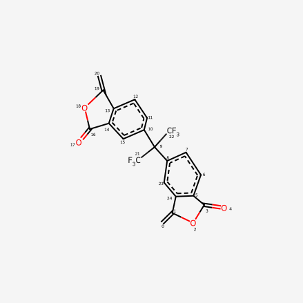 C=C1OC(=O)c2ccc(C(c3ccc4c(c3)C(=O)OC4=C)(C(F)(F)F)C(F)(F)F)cc21